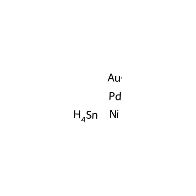 [Au].[Ni].[Pd].[SnH4]